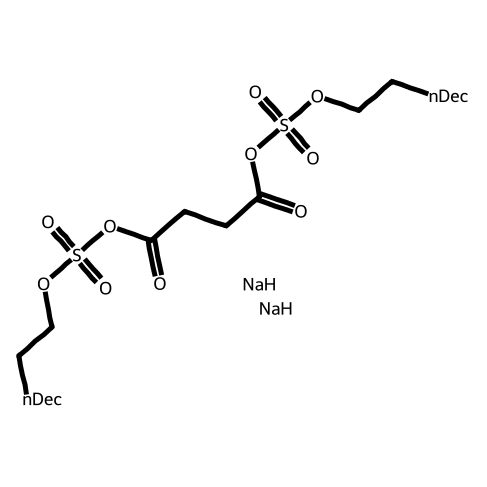 CCCCCCCCCCCCOS(=O)(=O)OC(=O)CCC(=O)OS(=O)(=O)OCCCCCCCCCCCC.[NaH].[NaH]